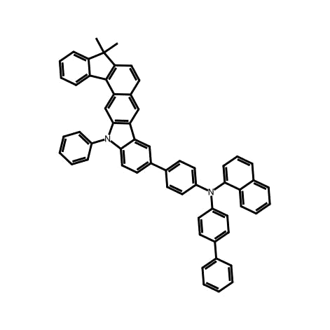 CC1(C)c2ccccc2-c2c1ccc1cc3c4cc(-c5ccc(N(c6ccc(-c7ccccc7)cc6)c6cccc7ccccc67)cc5)ccc4n(-c4ccccc4)c3cc21